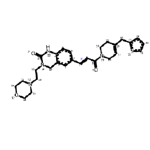 O=C(/C=C/c1ccc2c(c1)CN(CCN1CCOCC1)C(=O)N2)N1CC=C(Cc2cccs2)CC1